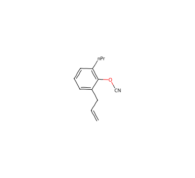 C=CCc1cccc(CCC)c1OC#N